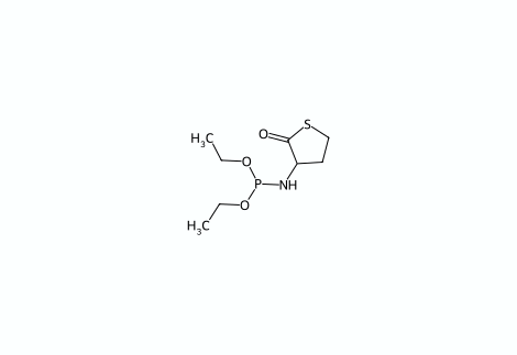 CCOP(NC1CCSC1=O)OCC